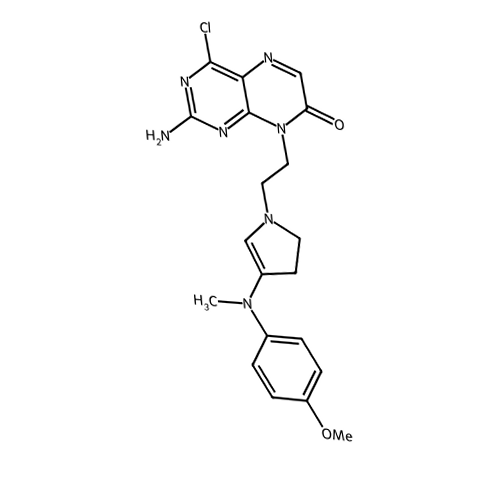 COc1ccc(N(C)C2=CN(CCn3c(=O)cnc4c(Cl)nc(N)nc43)CC2)cc1